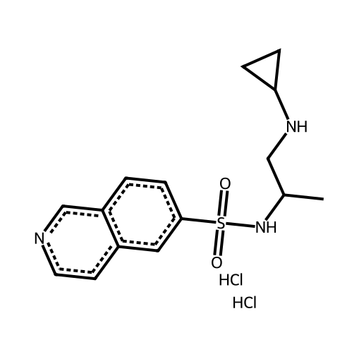 CC(CNC1CC1)NS(=O)(=O)c1ccc2cnccc2c1.Cl.Cl